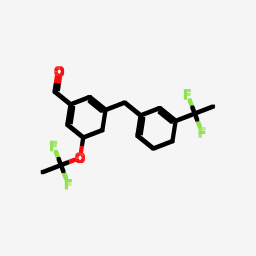 CC(F)(F)OC1C=C(C=O)C=C(CC2=CCCC(C(C)(F)F)=C2)C1